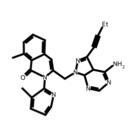 CCC#CC1=NN(Cc2cc3cccc(C)c3c(=O)n2-c2ncccc2C)C2N=CN=C(N)C12